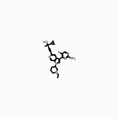 CCN1CCCC(n2cc(-c3nc(N)ncc3F)c3cc(C#CC(C)(O)C4CC4)ncc32)C1